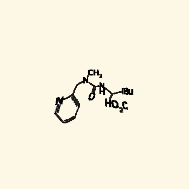 CCC(C)C(NC(=O)N(C)Cc1ccccn1)C(=O)O